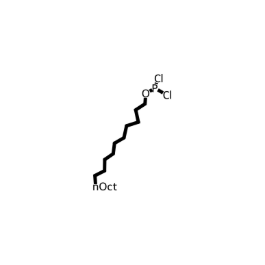 CCCCCCCCCCCCCCCCCCOP(Cl)Cl